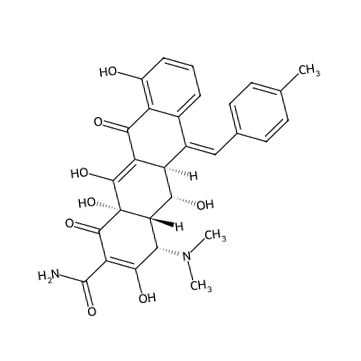 Cc1ccc(/C=C2\c3cccc(O)c3C(=O)C3=C(O)[C@]4(O)C(=O)C(C(N)=O)=C(O)[C@@H](N(C)C)[C@H]4[C@@H](O)[C@@H]32)cc1